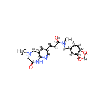 CN1CC(=O)Nc2ncc(C=CC(=O)N(C)Cc3ccc4c(c3)OCO4)cc2C1